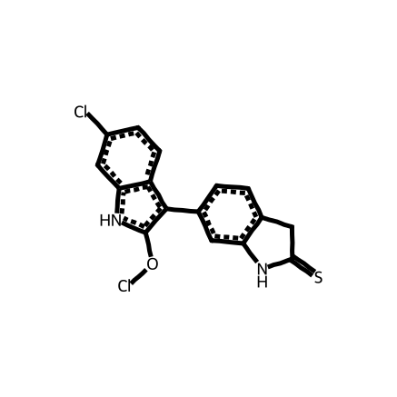 S=C1Cc2ccc(-c3c(OCl)[nH]c4cc(Cl)ccc34)cc2N1